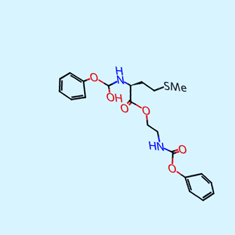 CSCC[C@H](NC(O)Oc1ccccc1)C(=O)OCCNC(=O)Oc1ccccc1